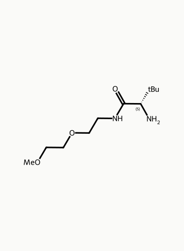 COCCOCCNC(=O)[C@@H](N)C(C)(C)C